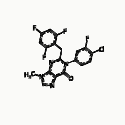 Cn1cnc2c(=O)n(-c3ccc(Cl)c(F)c3)c(Cc3c(F)cc(F)cc3F)nc21